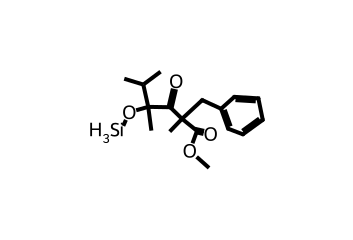 COC(=O)C(C)(Cc1ccccc1)C(=O)C(C)(O[SiH3])C(C)C